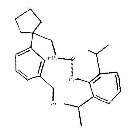 CC(C)c1cccc(C(C)C)c1NC(=O)NCC1(c2cccc(CBr)c2)CCCC1